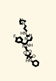 CC1(C(=O)NC2CCCCC2)COC(c2nc(-c3ccc(F)cc3)c(-c3ccnc(NCCCN4CC=NC4)n3)[nH]2)OC1